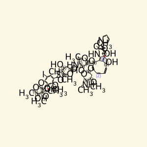 CCN[C@H]1CO[C@@H](O[C@H]2[C@H](O[C@H]3C#C/C=C\C#C[C@]4(O)CC(O)C(NC(=O)OC)=C3/C4=C\CSSc3ccccn3)O[C@H](C)[C@@H](NO[C@H]3C[C@H](O)[C@H](SC(=O)c4c(C)c(I)c(O[C@@H]5O[C@@H](C)[C@H](O)[C@@H](OC)[C@H]5O)c(OC)c4OC)[C@@H](C)O3)[C@@H]2O)C[C@@H]1OC